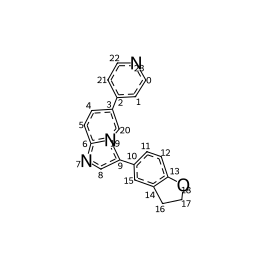 c1cc(-c2ccc3ncc(-c4ccc5c(c4)CCO5)n3c2)ccn1